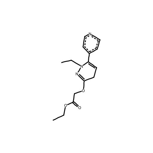 CCOC(=O)COC1=NN(CC)C(c2ccncc2)=CC1